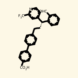 O=Cc1ccccc1[C@H](CCc1ccc(-c2ccc(C(=O)O)cc2)cc1)c1ccnc(C(F)(F)F)c1